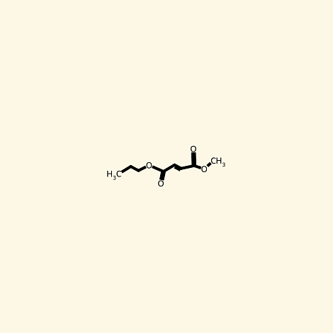 CCCOC(=O)C=CC(=O)OC